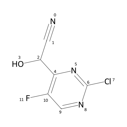 N#CC(O)c1nc(Cl)ncc1F